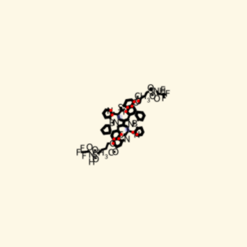 COc1ccc2sc(/C(C#N)=c3\c4c(-c5ccc(OCCCCS(=O)(=O)NC(=O)C(F)(F)F)cc5)n(B(c5ccccc5)c5ccccc5)/c(=C(\C#N)c5nc6cc(OC)ccc6s5)c4c(-c4ccc(OCCCCS(=O)(=O)NC(=O)C(F)(F)F)cc4)n3B(c3ccccc3)c3ccccc3)nc2c1